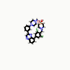 CN1CCN(c2cccc(-c3cnc4cccc(-c5cc(F)c(CN6CCS(=O)(=O)CC6)c(F)c5)c4n3)c2)CC1